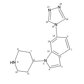 c1cc2ccn(C3CCNCC3)c2cc1-n1cnnc1